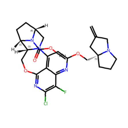 C=C1CN2CCC[C@@]2(COc2cc3c4c(nc(Cl)c(F)c4n2)OC[C@@H]2[C@@H]4CC[C@H](CN32)N4C(=O)OC(C)(C)C)C1